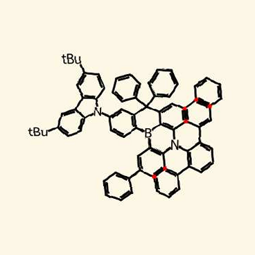 CC(C)(C)c1ccc2c(c1)c1cc(C(C)(C)C)ccc1n2-c1ccc2c(c1)C(c1ccccc1)(c1ccccc1)c1cc(-c3ccccc3)cc3c1B2c1cc(-c2ccccc2)ccc1N3c1c(-c2ccccc2)cccc1-c1ccccc1